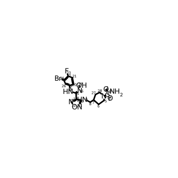 NS(=O)(=O)N1CCC(CNc2nonc2C(=NO)Nc2ccc(F)c(Br)c2)CC1